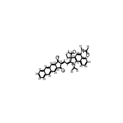 CCC1(C(C)=O)/C(=C\C=C2C(=O)c3cc4cc5ccccc5cc4cc3C2=O)N(C(C)C)c2c1cc(N(C)C(C)=O)c1ccccc21